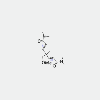 COCC(C)(/C=C/C(=O)N(C)C)/C=C/C(=O)N(C)C